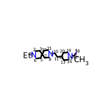 CCN1CCC2(CC1)CCN(CCC1CCN(C(C)I)CC1)CC2